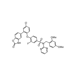 COc1ccc(CN(c2ncccn2)S(=O)(=O)c2ccc(Oc3ccc(Cl)cc3-c3ccc4oc(=O)[nH]c4c3)c(F)c2)c(OC)c1